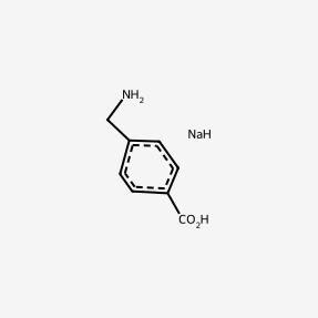 NCc1ccc(C(=O)O)cc1.[NaH]